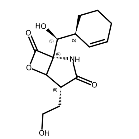 O=C1N[C@@]2([C@@H](O)[C@@H]3C=CCCC3)C(=O)OC2[C@H]1CCO